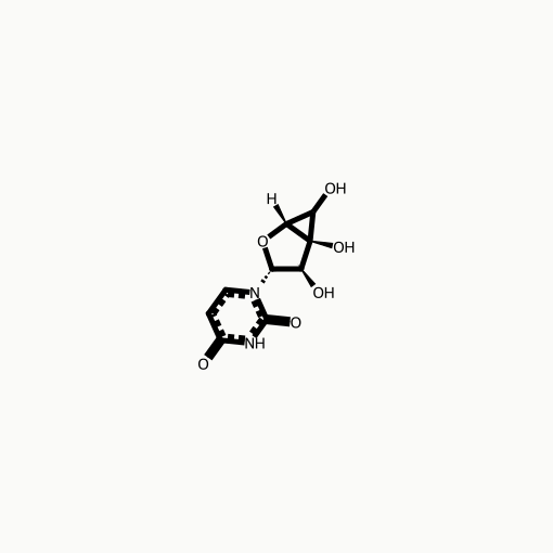 O=c1ccn([C@@H]2O[C@@H]3C(O)[C@]3(O)[C@H]2O)c(=O)[nH]1